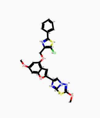 COc1cc(OCc2nc(-c3ccccc3)sc2Cl)c2cc(-c3cn4nc(OC)sc4n3)oc2c1